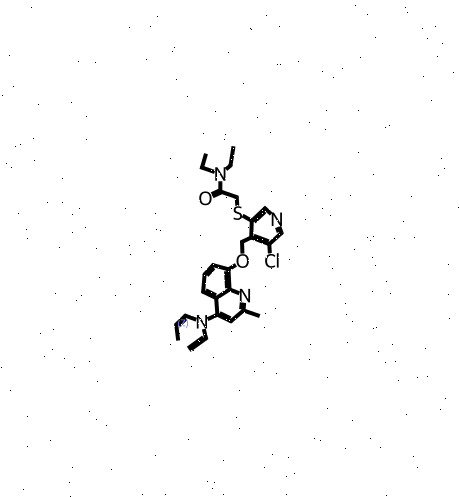 C=CN(/C=C\C)c1cc(C)nc2c(OCc3c(Cl)cncc3SCC(=O)N(CC)CC)cccc12